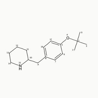 CC(C)(C)Oc1ccc(CC2CCCCN2)cc1